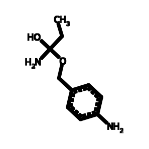 CCC(N)(O)OCc1ccc(N)cc1